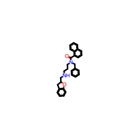 O=C(c1cccc2ccccc12)N(CCCNCC1Cc2ccccc2O1)Cc1ccccc1